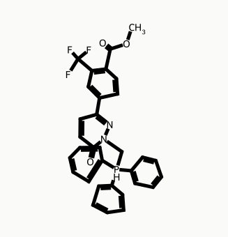 COC(=O)c1ccc(-c2ccc(=O)n(C[PH](c3ccccc3)(c3ccccc3)c3ccccc3)n2)cc1C(F)(F)F